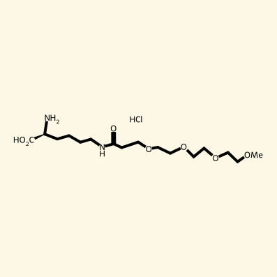 COCCOCCOCCOCCC(=O)NCCCC[C@H](N)C(=O)O.Cl